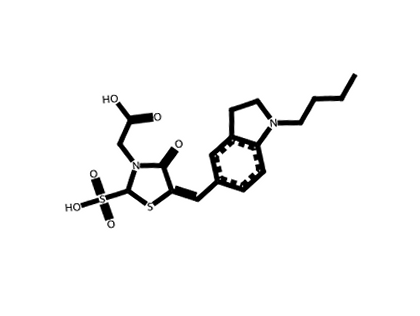 CCCCN1CCc2cc(C=C3SC(S(=O)(=O)O)N(CC(=O)O)C3=O)ccc21